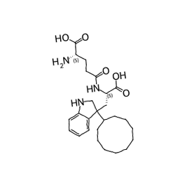 N[C@@H](CCC(=O)N[C@@H](CC1(C2CCCCCCCCC2)CNc2ccccc21)C(=O)O)C(=O)O